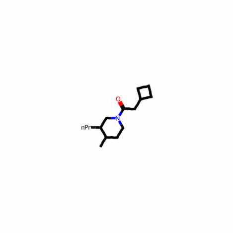 CCCC1CN(C(=O)CC2CCC2)CCC1C